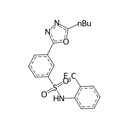 CCCCc1nnc(-c2cccc(S(=O)(=O)Nc3ccccc3C(F)(F)F)c2)o1